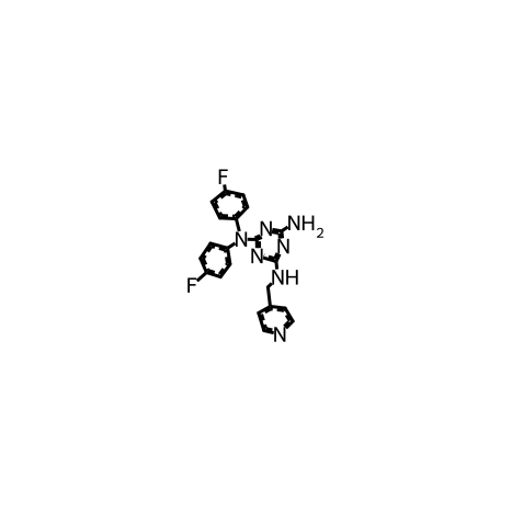 Nc1nc(NCc2ccncc2)nc(N(c2ccc(F)cc2)c2ccc(F)cc2)n1